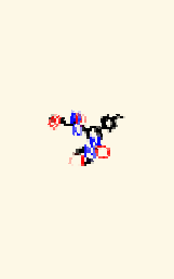 CCc1ccc(C2CC(c3nc(CCOC)no3)CN(C(=O)N3CCOCC3)C2)cc1